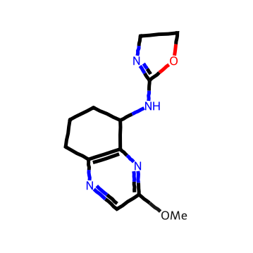 COc1cnc2c(n1)C(NC1=NCCO1)CCC2